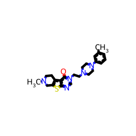 Cc1cccc(N2CCN(CCn3cnc4sc5c(c4c3=O)CCN(C)C5)CC2)c1